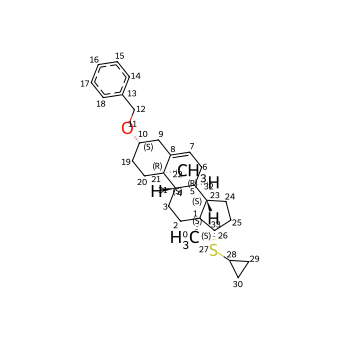 C[C@]12CC[C@H]3[C@@H](CC=C4C[C@@H](OCc5ccccc5)CC[C@@]43C)[C@@H]1CC[C@@H]2SC1CC1